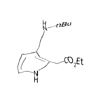 CCCCNc1cc[nH]c1C(=O)OCC